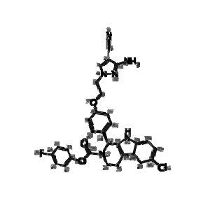 N#Cc1cn(CCOc2ccc([C@H]3C4=C(CCN3C(=O)Oc3ccc(F)cc3)C3CC(Cl)=CC=C3N4)cc2)nc1N